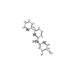 Cc1cc(Nc2cccc(-c3ccccn3)n2)ncc1I